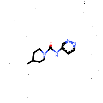 CC1CCN(C(=O)Nc2ccnnc2)CC1